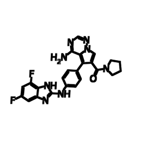 Nc1ncnn2cc(C(=O)N3CCCC3)c(-c3ccc(Nc4nc5cc(F)cc(F)c5[nH]4)cc3)c12